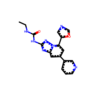 CCNC(=O)Nc1nc2cc(-c3cccnc3)cc(-c3cnco3)n2n1